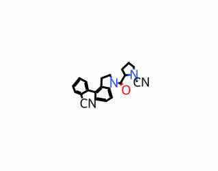 N#Cc1ccccc1-c1cccc2c1CCN2C(=O)C1CCCN1C#N